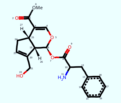 COC(=O)C1=CO[C@@H](OC(=O)C(N)Cc2ccccc2)[C@@H]2C(CO)=CC[C@H]12